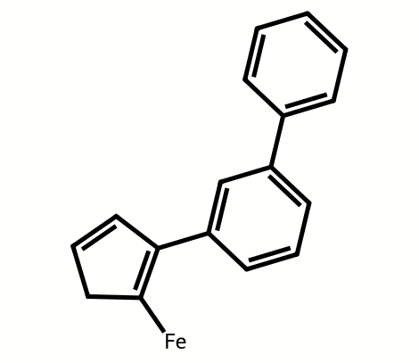 [Fe][C]1=C(c2cccc(-c3ccccc3)c2)C=CC1